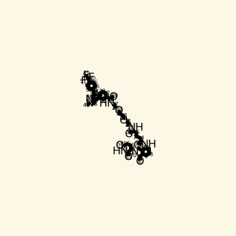 CN(Cc1c(C=O)cccc1NC(=O)CCCC(=O)NCCOCCOCCNC(=O)c1ccc2c(c1)c1cn(C)nc1n2-c1ccc(C(F)(F)F)cc1)C1CCC(=O)NC1=O